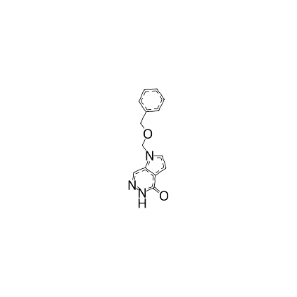 O=c1[nH]ncc2c1ccn2COCc1ccccc1